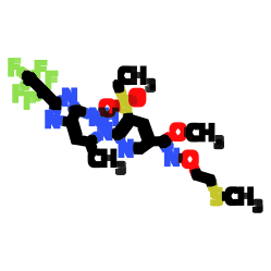 CCS(=O)(=O)c1cc(C(=NOCCSC)OC)cnc1N1NC2=NC(C(F)(F)C(F)(F)F)=NC2=CC1C